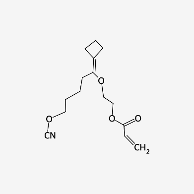 C=CC(=O)OCCOC(CCCCOC#N)=C1CCC1